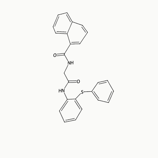 O=C(CNC(=O)c1cccc2ccccc12)Nc1ccccc1Sc1ccccc1